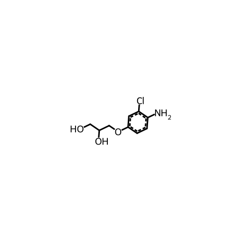 Nc1ccc(OCC(O)CO)cc1Cl